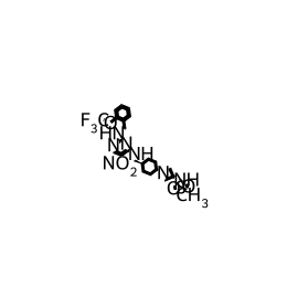 CS(=O)(=O)NC1CN([C@H]2CC[C@H](CNc3nc(NCc4ccccc4OC(F)(F)F)ncc3[N+](=O)[O-])CC2)C1